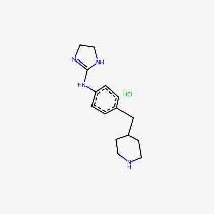 Cl.c1cc(NC2=NCCN2)ccc1CC1CCNCC1